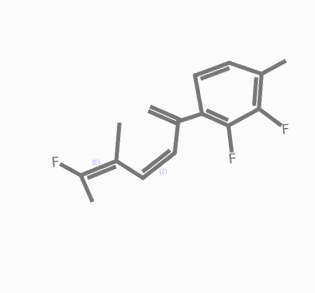 C=C(/C=C\C(C)=C(/C)F)c1ccc(C)c(F)c1F